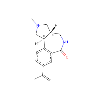 C=C(C)c1ccc2c(c1)C(=O)NC[C@H]1CN(C)C[C@H]21